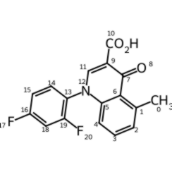 Cc1cccc2c1c(=O)c(C(=O)O)cn2-c1ccc(F)cc1F